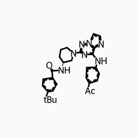 CC(=O)c1ccc(Nc2nc(N3CCC[C@@H](NC(=O)c4ccc(C(C)(C)C)cc4)C3)nn3ccnc23)cc1